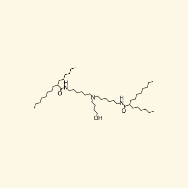 CCCCCCCCC(CCCCCC)C(=O)NCCCCCCN(CCCCO)CCCCCCNC(=O)C(CCCCCC)CCCCCCCC